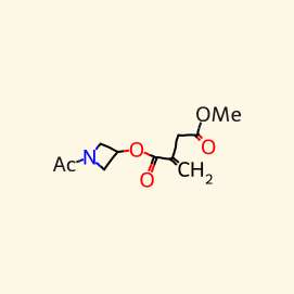 C=C(CC(=O)OC)C(=O)OC1CN(C(C)=O)C1